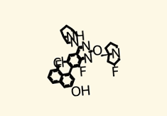 Oc1cc(-c2c(Cl)cc3c(N4CC5CCC(C4)N5)nc(OC[C@@]45CCCN4C[C@H](F)C5)nc3c2F)c2c(F)cccc2c1